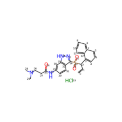 C=CC(c1cccc2ccccc12)S(=O)(=O)c1n[nH]c2cc(NC(=O)CCN(C)C)ccc12.Cl